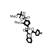 COCC(C)(C)NS(=O)(=O)c1ccc(NC(=O)[C@H](Cc2ccccc2)NC(=O)c2ccc(F)cc2)cc1OC